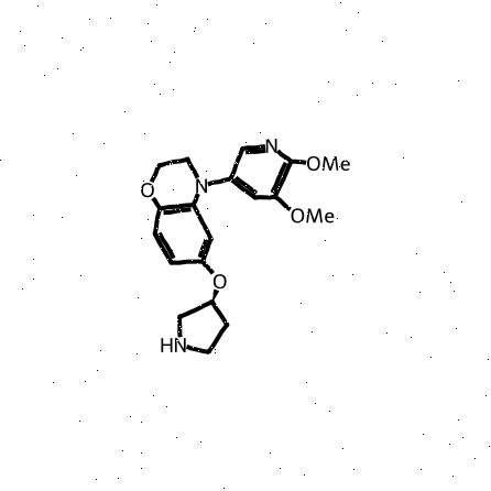 COc1cc(N2CCOc3ccc(O[C@H]4CCNC4)cc32)cnc1OC